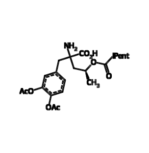 CCCC(C)C(=O)O[C@@H](C)CC(N)(Cc1ccc(OC(C)=O)c(OC(C)=O)c1)C(=O)O